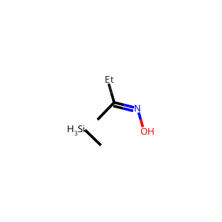 CCC(C)=NO.C[SiH3]